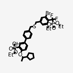 CCOP(=O)(O)c1cc(-c2ccc(CSCc3ccc(C(F)(F)P(=O)(OCC)OCC)c(Br)c3)cc2)ccc1OC(C)C1CCCC1